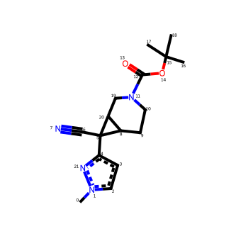 Cn1ccc(C2(C#N)C3CCN(C(=O)OC(C)(C)C)CC32)n1